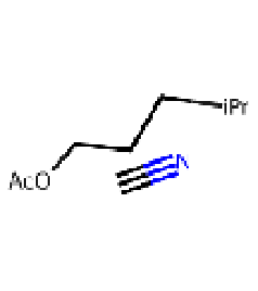 C#N.CC(=O)OCCCC(C)C